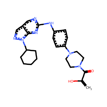 C=C(O)C(=O)N1CCN(c2ccc(Nc3ncc4cnn(C5CCCCC5)c4n3)cc2)CC1